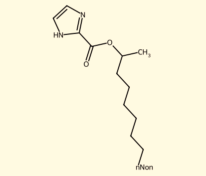 CCCCCCCCCCCCCCCC(C)OC(=O)c1ncc[nH]1